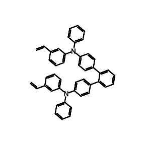 C=Cc1cccc(N(c2ccccc2)c2ccc(-c3ccccc3-c3ccc(N(c4ccccc4)c4cccc(C=C)c4)cc3)cc2)c1